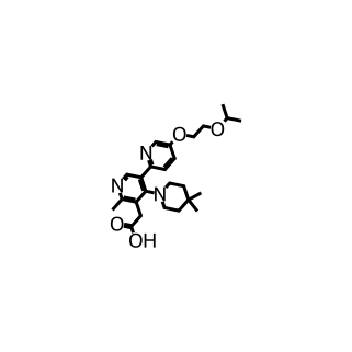 Cc1ncc(-c2ccc(OCCOC(C)C)cn2)c(N2CCC(C)(C)CC2)c1CC(=O)O